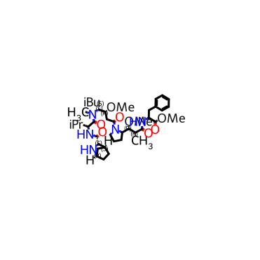 CC[C@H](C)[C@@H]([C@@H](CC(=O)N1CCCC1[C@H](OC)[C@@H](C)C(=O)NC(Cc1ccccc1)C(=O)OC)OC)N(C)C(=O)C(NC(=O)[C@H]1N[C@@H]2CC[C@H]1C2)C(C)C